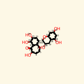 O=c1c(O)cccc2c([C@@H]3Oc4cc(O)cc(O)c4C[C@@H]3O)cc(O)c(O)c12